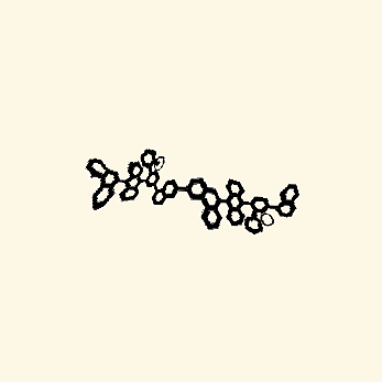 c1cc(-c2cc(-c3c4ccccc4c(-c4cc5ccccc5c5ccccc45)c4ccccc34)c3c(c2)oc2ccccc23)c2ccc(-c3ccc4cc(-c5c6ccccc6c(-c6ccc(-c7cccc8ccccc78)c7oc8ccccc8c67)c6ccccc56)c5ccccc5c4c3)cc2c1